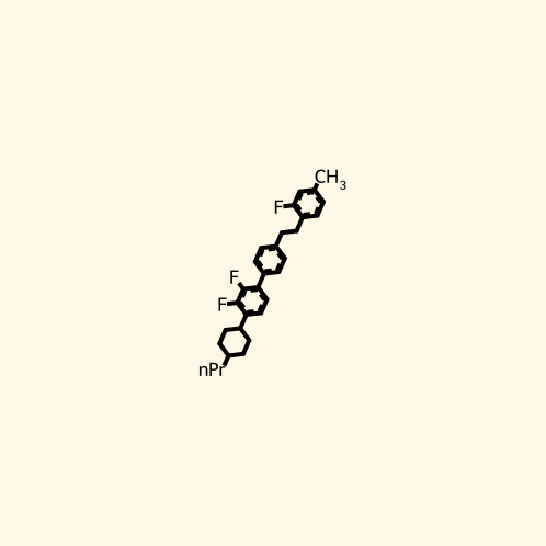 CCCC1CCC(c2ccc(-c3ccc(CCc4ccc(C)cc4F)cc3)c(F)c2F)CC1